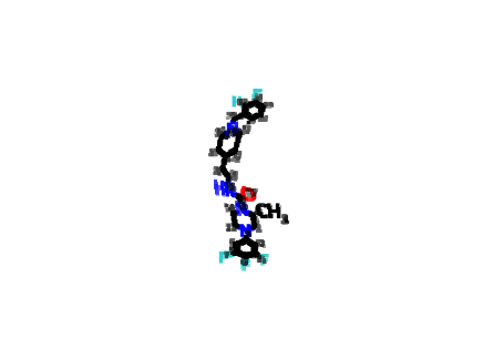 C[C@@H]1CN(c2cc(F)c(F)c(F)c2)CCN1C(=O)NCCC1CCN(Cc2cccc(F)c2F)CC1